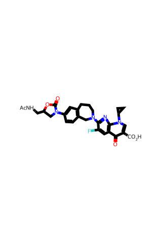 CC(=O)NCC1CN(c2ccc3c(c2)CCCN(c2nc4c(cc2F)c(=O)c(C(=O)O)cn4C2CC2)C3)C(=O)O1